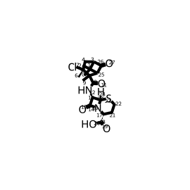 CC1(C)C2C[C@@](C)(Cl)C(C)(C(=O)N[C@@H]3C(=O)N4[C@@H](C(=O)O)CCS[C@@H]34)C1C2=O